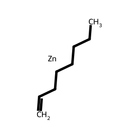 C=CCCCCCC.[Zn]